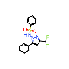 O=S(=O)(Nn1nc(C(F)F)cc1C1=CCCCC1)c1ccccc1